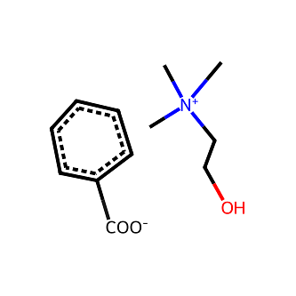 C[N+](C)(C)CCO.O=C([O-])c1ccccc1